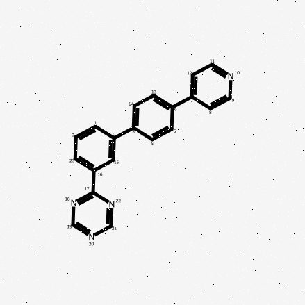 c1cc(-c2ccc(-c3ccncc3)cc2)cc(-c2ncncn2)c1